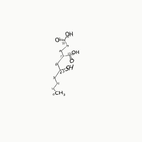 CCCCC(S)CC(CCC(=O)O)C(=O)O